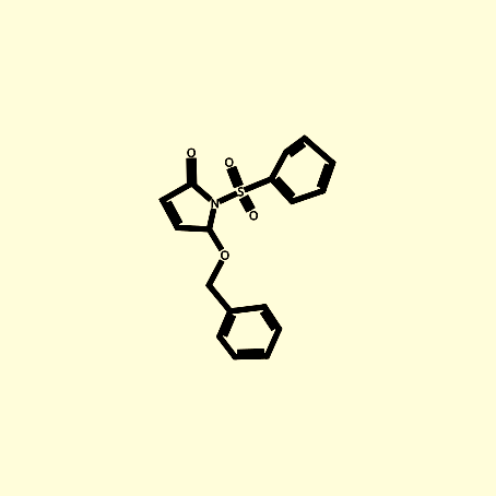 O=C1C=CC(OCc2ccccc2)N1S(=O)(=O)c1ccccc1